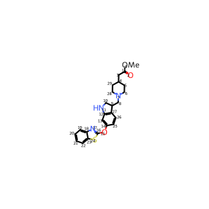 COC(=O)CC1CCN(CC2CNc3cc(Oc4nc5ccccc5s4)ccc32)CC1